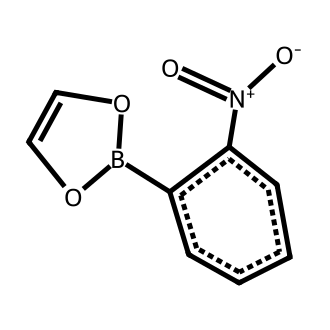 O=[N+]([O-])c1ccccc1B1OC=CO1